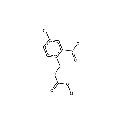 O=C(OCl)OCc1ccc(Cl)cc1[N+](=O)[O-]